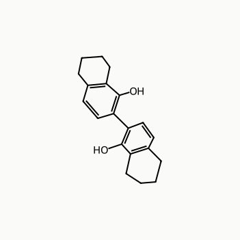 Oc1c(-c2ccc3c(c2O)CCCC3)ccc2c1CCCC2